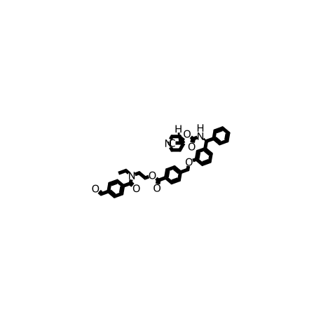 CCN(CCOC(=O)c1ccc(COc2cccc([C@@H](NC(=O)O[C@H]3CN4CCC3CC4)c3ccccc3)c2)cc1)C(=O)c1ccc(C=O)cc1